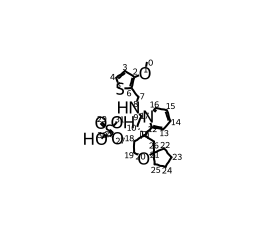 COc1ccsc1CNCC[C@@]1(c2ccccn2)CCOC2(CCCC2)C1.O=S(=O)(O)O